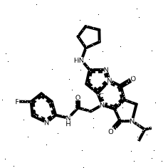 CC(C)N1Cc2c(n(CC(=O)Nc3ccc(F)cn3)c3cc(NC4CCCC4)nn3c2=O)C1=O